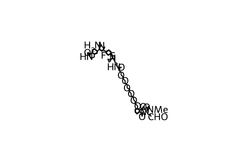 CNC(=O)C(CCC=O)N1C(=O)c2cccc(OCCOCCOCCOCCOCCOCCC(=O)NCCCN(Sc3ccc(-c4cnc(N)c(-c5ccc6c(c5)CCNC6=O)c4)c(F)c3)C3CC3)c2C1=O